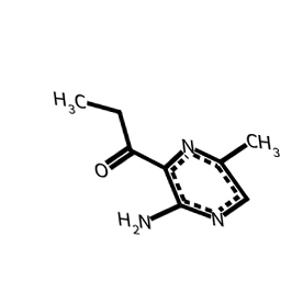 CCC(=O)c1nc(C)cnc1N